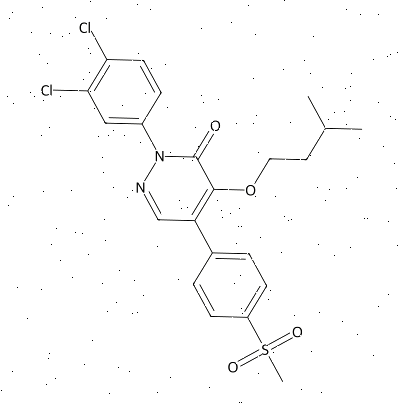 CC(C)CCOc1c(-c2ccc(S(C)(=O)=O)cc2)cnn(-c2ccc(Cl)c(Cl)c2)c1=O